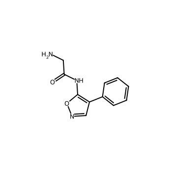 NCC(=O)Nc1oncc1-c1ccccc1